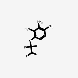 Cc1ccc(OC(F)(F)C(F)F)c(N)c1N